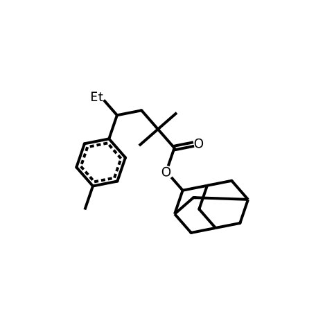 CCC(CC(C)(C)C(=O)OC1C2CC3CC(C2)CC1C3)c1ccc(C)cc1